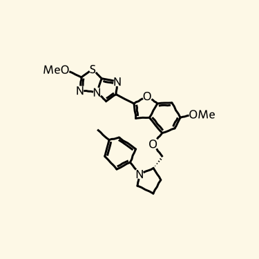 COc1cc(OC[C@@H]2CCCN2c2ccc(C)cc2)c2cc(-c3cn4nc(OC)sc4n3)oc2c1